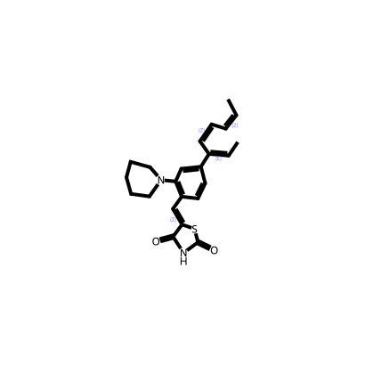 C\C=C/C=C\C(=C/C)c1ccc(/C=C2\SC(=O)NC2=O)c(N2CCCCC2)c1